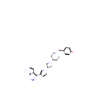 O=C(c1ccc(O)c(C(F)(F)F)c1)N1CCC(N2CC(n3ccc(-c4ncnc5[nH]ccc45)c3)C2)CC1